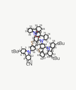 CC(C)(C)c1ccc2c(c1)c1cc(C#N)ccc1n2-c1ccc2c(c1)Sc1cc(-n3c4ccccc4c4ccccc43)cc3c1B2c1c(cc(-n2c4ccc(C(C)(C)C)cc4c4cc(C(C)(C)C)ccc42)c2c1sc1ccccc12)N3c1ccccc1-c1ccccc1